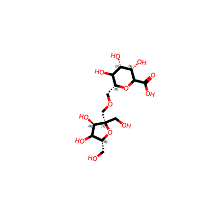 O=C(O)C1O[C@H](COC[C@]2(CO)O[C@H](CO)C(O)[C@H]2O)C(O)[C@H](O)[C@@H]1O